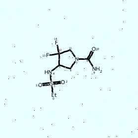 CCS(=O)(=O)NC1CN(C(N)=O)CC1(F)F